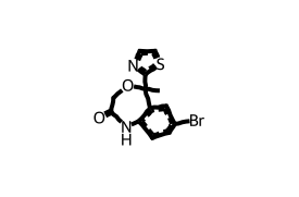 CC1(c2nccs2)OCC(=O)Nc2ccc(Br)cc21